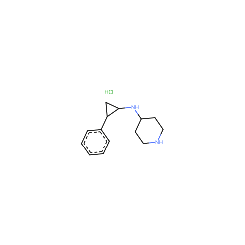 Cl.c1ccc(C2CC2NC2CCNCC2)cc1